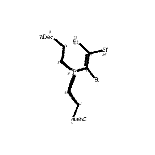 CCCCCCCCCCCCP(CCCCCCCCCCCC)C(CC)=C(CC)CC